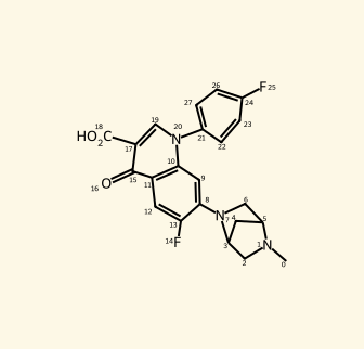 CN1CC2CC1CN2c1cc2c(cc1F)c(=O)c(C(=O)O)cn2-c1ccc(F)cc1